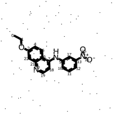 CCOc1ccc2c(Nc3cccc([N+](=O)[O-])c3)ccnc2c1